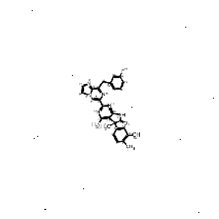 Cc1ccc([C@@]2(C)C(=O)Nc3nc(-c4cn5ccnc5c(Cc5cccc(F)c5)n4)nc(N)c32)cc1O